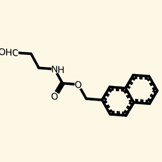 O=CCCNC(=O)OCc1ccc2ccccc2c1